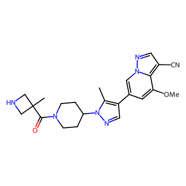 COc1cc(-c2cnn(C3CCN(C(=O)C4(C)CNC4)CC3)c2C)cn2ncc(C#N)c12